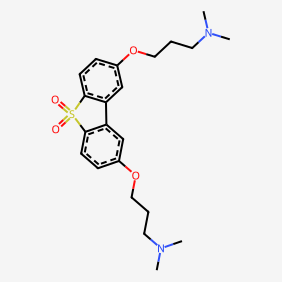 CN(C)CCCOc1ccc2c(c1)-c1cc(OCCCN(C)C)ccc1S2(=O)=O